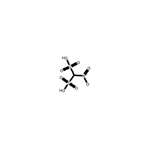 O=[N+]([O-])C(S(=O)(=O)O)S(=O)(=O)O